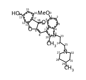 COc1ccc2c(c1)c(C=C1Oc3cc(O)ccc3C1=O)c(C)n2CCCN1CCC(C)CC1